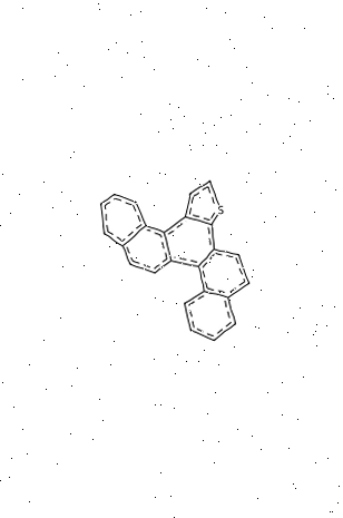 c1ccc2c(c1)ccc1c2c2ccsc2c2ccc3ccccc3c21